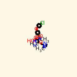 CC(OCc1nccn1C)C(C(=O)NO)N(C)S(=O)(=O)c1ccc(Oc2ccc(Cl)cc2)cc1